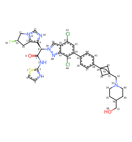 O=C(Nc1nccs1)[C@@H](c1ncn2c1C[C@@H](F)C2)n1cc2c(Cl)cc(-c3ccc(C45CC(CN6CCC(CO)CC6)(C4)C5)cc3)c(Cl)c2n1